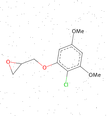 COc1cc(OC)c(Cl)c(OCC2CO2)c1